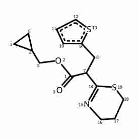 O=C(OCC1CC1)C(Cc1cccs1)C1=NCCCS1